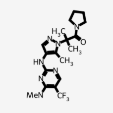 CNc1nc(Nc2cnn(C(C)(C)C(=O)N3CCCC3)c2C)ncc1C(F)(F)F